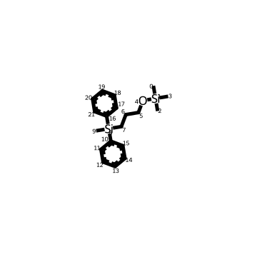 C[Si](C)(C)OCCC[Si](C)(c1ccccc1)c1ccccc1